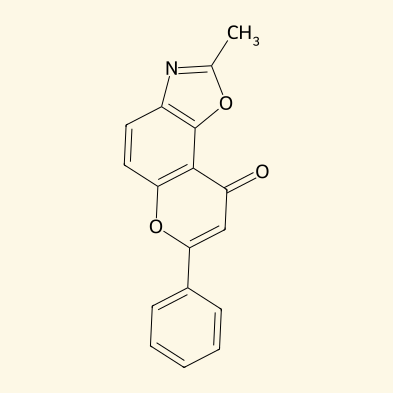 Cc1nc2ccc3oc(-c4ccccc4)cc(=O)c3c2o1